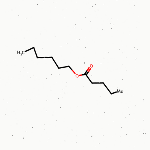 CCCCCCOC(=O)CC[CH2][Mo]